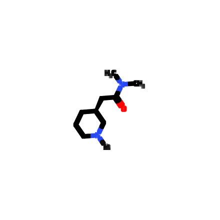 [CH2]CN1CCC[C@@H](CC(=O)N(C)C)C1